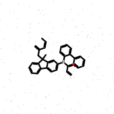 C=C/C(=C\C)N(c1ccc2c(c1)C(C)(CC(=C)/C=C\C)c1ccccc1-2)c1ccccc1-c1ccccc1